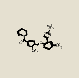 Cc1ccc(OCc2ccc(C(=O)N3CCCCC3)cc2C)c(-c2csc(N)n2)c1